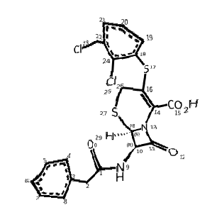 O=C(Cc1ccccc1)N[C@@H]1C(=O)N2C(C(=O)O)=C(Sc3cccc(Cl)c3Cl)CS[C@H]12